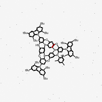 Cc1cc(C)c(N2c3cc4c(cc3B3c5ccccc5Oc5cc(-n6c7c(C(C)(C)C)cc(C(C)(C)C)cc7c7cc(C(C)(C)C)cc(C(C)(C)C)c76)cc2c53)B2c3cc5c(cc3Oc3cc(-n6c7c(C(C)(C)C)cc(C(C)(C)C)cc7c7cc(C(C)(C)C)cc(C(C)(C)C)c76)cc(c32)O4)Nc2cc(-n3c4c(C(C)(C)C)cc(C(C)(C)C)cc4c4cc(C(C)(C)C)cc(C(C)(C)C)c43)cc3c2B5c2ccccc2O3)c(C)c1